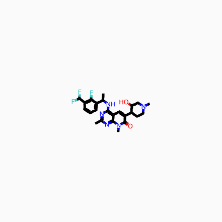 Cc1nc(NC(C)c2cccc(C(F)F)c2F)c2cc(C3CCN(C)CC3O)c(=O)n(C)c2n1